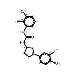 Cc1ccc(N2CCC(NC(=O)Nc3cccc(Cl)c3Cl)C2)cc1F